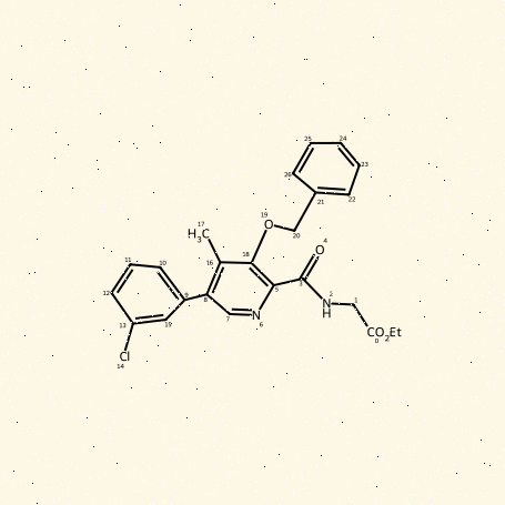 CCOC(=O)CNC(=O)c1ncc(-c2cccc(Cl)c2)c(C)c1OCc1ccccc1